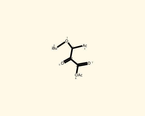 CCC(C)OC(C(C)=O)C(=O)C(=O)OC(C)=O